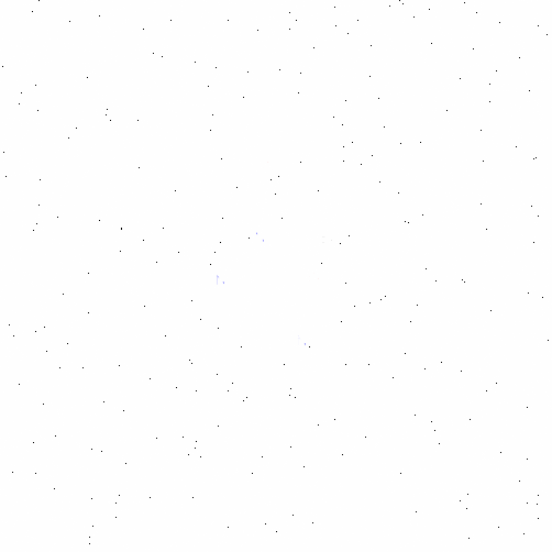 CC(C)Oc1c(N2CCOCC2)ncc2cccnc12